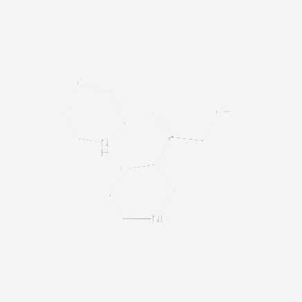 C1COCCN1.CCC(=O)C1CNCCO1